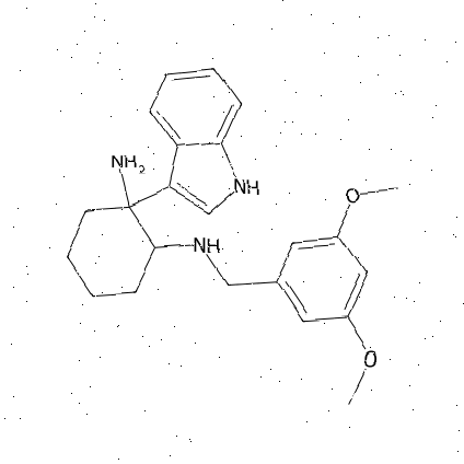 COc1cc(CNC2CCCCC2(N)c2c[nH]c3ccccc23)cc(OC)c1